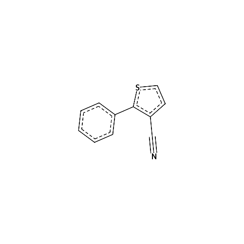 N#Cc1ccsc1-c1ccccc1